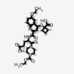 CCOC(=O)N1CCN(C(=O)C(CCC(=O)O)NC(=O)c2cc(OC3(C(=O)O)CCC3)c3cc(OCC)ccc3n2)CC1